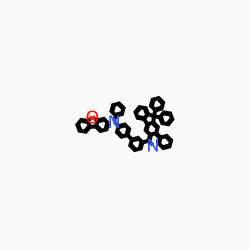 c1ccc(N(c2ccc(-c3cccc(-c4nc5ccccc5c5cc6c(cc45)-c4ccccc4C6(c4ccccc4)c4ccccc4)c3)cc2)c2ccc3c(c2)oc2ccccc23)cc1